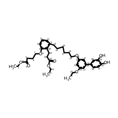 CCOC(=O)CCCOc1cccc(CCCCCCOc2cc(OCC)cc(-c3ccc(O)c(O)c3)c2)c1CCC(=O)OCC